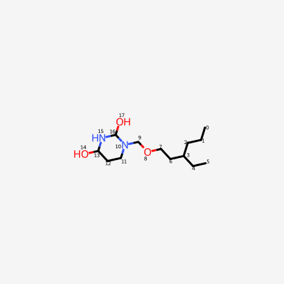 CCCC(CC)CCOCN1CCC(O)NC1O